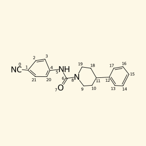 N#Cc1ccc(NC(=O)N2CCC(c3ccccc3)CC2)cc1